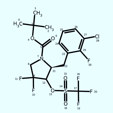 CC(C)(C)OC(=O)N1CC(F)(F)C(OS(=O)(=O)C(F)(F)F)[C@@H]1Cc1cccc(Cl)c1F